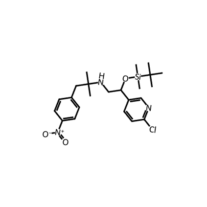 CC(C)(Cc1ccc([N+](=O)[O-])cc1)NCC(O[Si](C)(C)C(C)(C)C)c1ccc(Cl)nc1